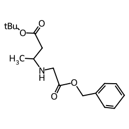 CC(CC(=O)OC(C)(C)C)NCC(=O)OCc1ccccc1